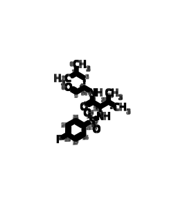 CC(C)C[C@@H](C=O)NC(=O)[C@@H](NS(=O)(=O)c1ccc(F)cc1)C(C)C